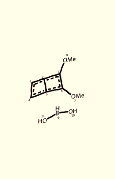 COc1c2ccc-2c1OC.OBO